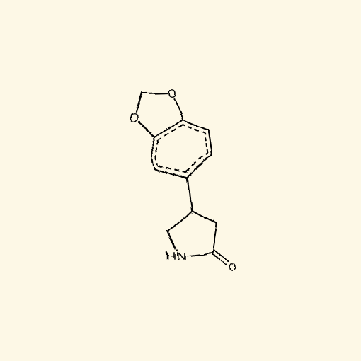 O=C1C[C](c2ccc3c(c2)OCO3)CN1